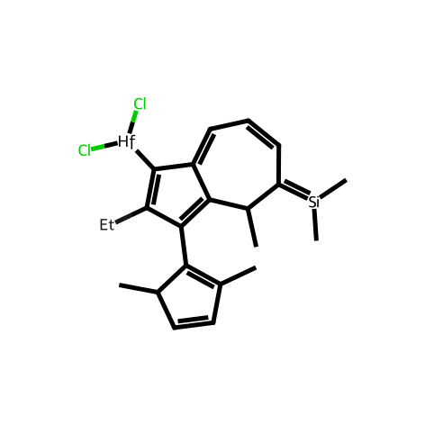 CCC1=[C]([Hf]([Cl])[Cl])C2=CC=CC(=[Si](C)C)C(C)C2=C1C1=C(C)C=CC1C